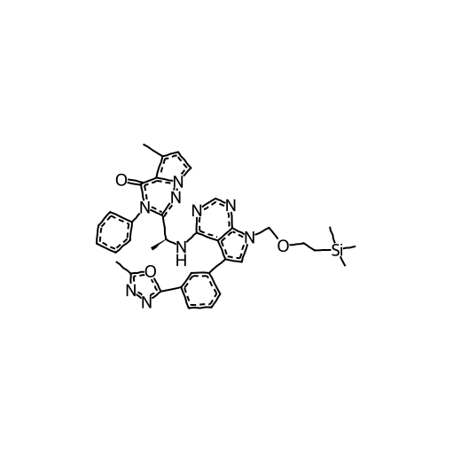 Cc1nnc(-c2cccc(-c3cn(COCC[Si](C)(C)C)c4ncnc(N[C@@H](C)c5nn6ccc(C)c6c(=O)n5-c5ccccc5)c34)c2)o1